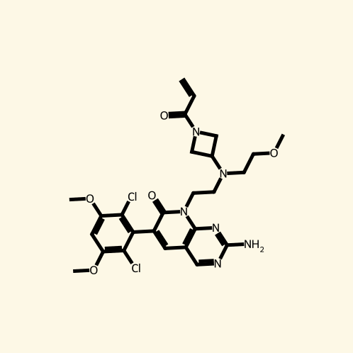 C=CC(=O)N1CC(N(CCOC)CCn2c(=O)c(-c3c(Cl)c(OC)cc(OC)c3Cl)cc3cnc(N)nc32)C1